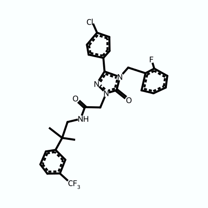 CC(C)(CNC(=O)Cn1nc(-c2ccc(Cl)cc2)n(Cc2ccccc2F)c1=O)c1cccc(C(F)(F)F)c1